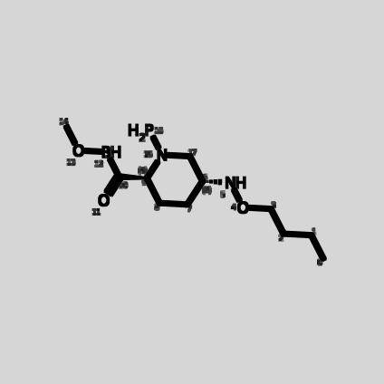 CCCCON[C@@H]1CC[C@@H](C(=O)BOC)N(P)C1